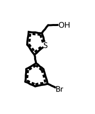 OCc1ccc(-c2cccc(Br)c2)s1